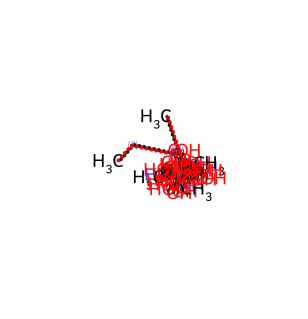 CCCCCCCC/C=C\CCCCCCCCCCCCCCCC(=O)N[C@@H](CO[C@@H]1OC(CO)[C@@H](O[C@@H]2OC(CO)[C@H](O[C@@H]3OC(CO[C@]4(C(=O)O)CC(O)[C@@H](NC(C)=O)C([C@H](O)[C@H](O)CO)O4)[C@H](O)[C@H](O[C@@H]4OC(CO)[C@H](O)[C@H](O)C4O)C3NC(C)=O)[C@H](O[C@]3(C(=O)O)CC(O)[C@@H](NC(C)=O)C([C@H](O)[C@H](O)CO)O3)C2O)[C@H](O)C1O)[C@H](O)/C=C/CCCCCCCCCCCCC